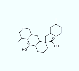 CC1CCCC(CC2C(C(=O)O)CCCC2(CC2CCCC(C)C2)C(=O)O)C1